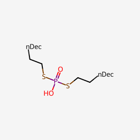 CCCCCCCCCCCCSP(=O)(O)SCCCCCCCCCCCC